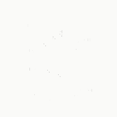 CCN1C(=CC=Cc2n(CC)c3cc(Cl)c(Cl)cc3[n+]2CCCC(=O)O)N(NCCC(=O)O)c2cc(Cl)c(Cl)cc21